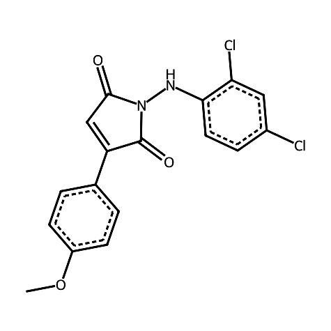 COc1ccc(C2=CC(=O)N(Nc3ccc(Cl)cc3Cl)C2=O)cc1